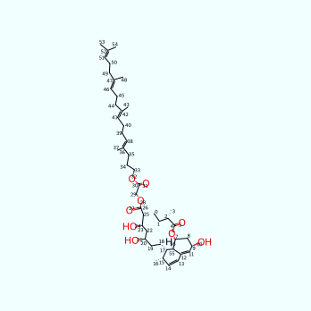 CC[C@H](C)C(=O)O[C@H]1C[C@@H](O)C=C2C=C[C@H](C)[C@H](CCC(O)C[C@@H](O)CC(=O)OCC(=O)OCCC/C(C)=C/CC/C=C(\C)CC/C=C(\C)CCC=C(C)C)[C@H]21